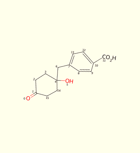 O=C1CCC(O)(Cc2ccc(C(=O)O)cc2)CC1